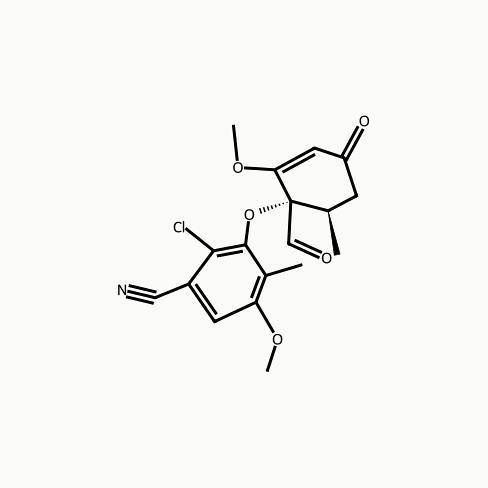 COC1=CC(=O)C[C@@H](C)[C@]1(C=O)Oc1c(C)c(OC)cc(C#N)c1Cl